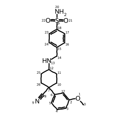 COc1cccc(C2(C#N)CCC(NCc3ccc(S(N)(=O)=O)cc3)CC2)c1